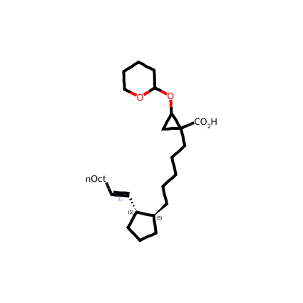 CCCCCCCC/C=C/[C@H]1CCC[C@@H]1CCCCCC1(C(=O)O)CC1OC1CCCCO1